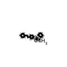 CN(C(=O)Oc1ccc(C=Cc2ccccc2)cc1)c1ccccc1